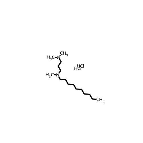 CCCCCCCCCCN(C)CCCN(C)C.Cl.Cl